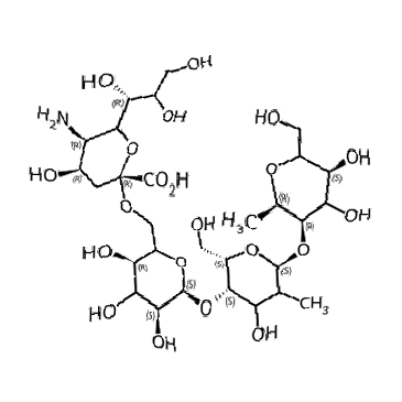 CC1C(O)[C@H](O[C@@H]2OC(CO[C@]3(C(=O)O)C[C@@H](O)[C@@H](N)C([C@H](O)C(O)CO)O3)[C@H](O)C(O)[C@@H]2O)[C@H](CO)O[C@H]1O[C@@H]1C(O)[C@H](O)C(CO)O[C@@H]1C